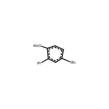 COc1ccc(C(C)(C)C)cc1C(C)C